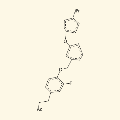 CC(=O)CCc1ccc(OCc2cccc(Oc3ccc(C(C)C)cc3)c2)c(F)c1